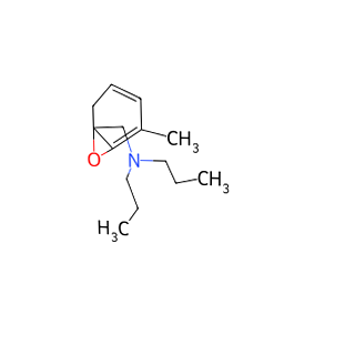 CCCN(CCC)CC12CC=CC(C)=C1O2